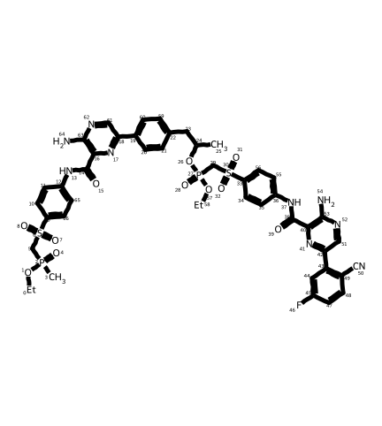 CCOP(C)(=O)CS(=O)(=O)c1ccc(NC(=O)c2nc(-c3ccc(CC(C)OP(=O)(CS(=O)(=O)c4ccc(NC(=O)c5nc(-c6cc(F)ccc6C#N)cnc5N)cc4)OCC)cc3)cnc2N)cc1